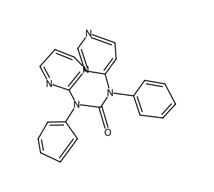 O=C(N(c1ccccc1)c1ccncc1)N(c1ccccc1)c1ncccn1